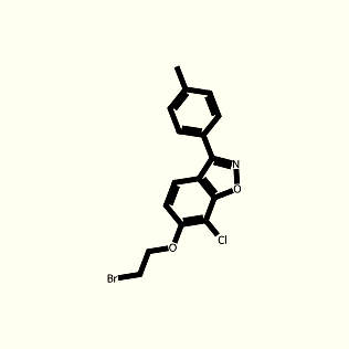 Cc1ccc(-c2noc3c(Cl)c(OCCBr)ccc23)cc1